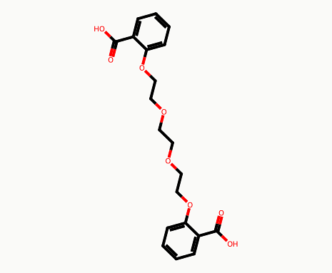 O=C(O)c1ccccc1OCCOCCOCCOc1ccccc1C(=O)O